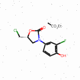 CCOC(C)=O.O=C1O[C@@H](CCl)CN1c1ccc(O)c(F)c1